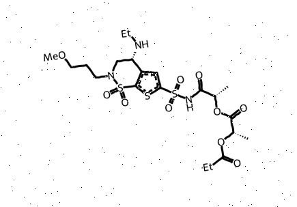 C[CH]C(=O)O[C@@H](C)C(=O)O[C@@H](C)C(=O)NS(=O)(=O)c1cc2c(s1)S(=O)(=O)N(CCCOC)C[C@@H]2NCC